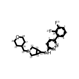 Fc1cccc(-c2ccc(NC3C4CN(CC5CCOCC5)CC43)nn2)c1F